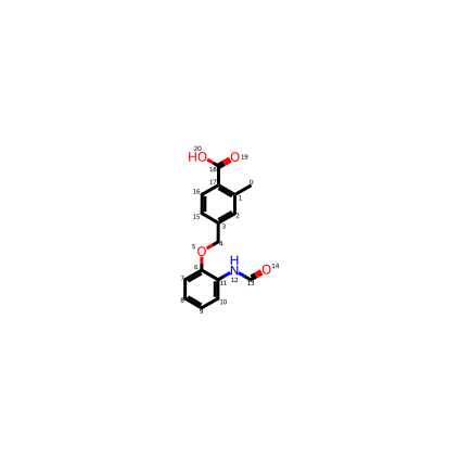 Cc1cc(COc2ccccc2NC=O)ccc1C(=O)O